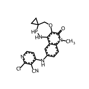 Cn1c(=O)c2c(c3cc(Nc4ccnc(Cl)c4C#N)ccc31)NPC1(CC1)CO2